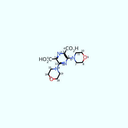 O=C(O)c1nc(C(=O)O)c(N2CCOCC2)nc1N1CCOCC1